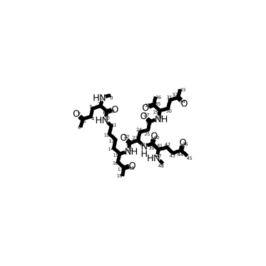 CNC(CCC(C)=O)C(=O)NCCCCC(CC(C)=O)NC(=O)C(CCC(=O)NC(CCC(C)=O)C(C)=O)NC(=O)C(CCC(C)=O)NC